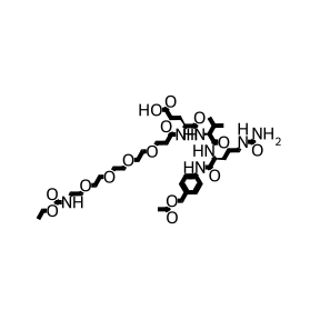 CCOC(=O)NCCOCCOCCOCCOCCC(=O)N[C@@H](CCC(=O)O)C(=O)N[C@H](C(=O)N[C@@H](CCCNC(N)=O)C(=O)Nc1ccc(COC(C)=O)cc1)C(C)C